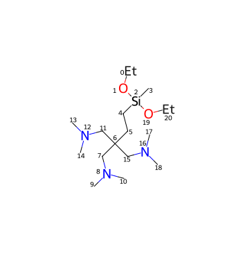 CCO[Si](C)(CCC(CN(C)C)(CN(C)C)CN(C)C)OCC